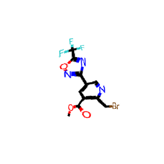 COC(=O)c1cc(-c2noc(C(F)(F)F)n2)cnc1CBr